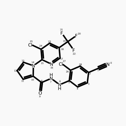 N#Cc1ccc(NNC(=O)c2cccn2-c2ncc(C(F)(F)F)cc2Cl)c(Cl)c1